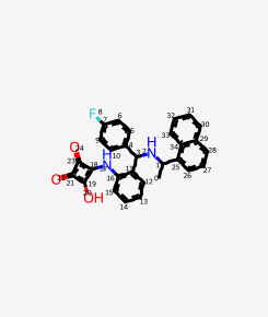 CC(NC(c1ccc(F)cc1)c1ccccc1Nc1c(O)c(=O)c1=O)c1cccc2ccccc12